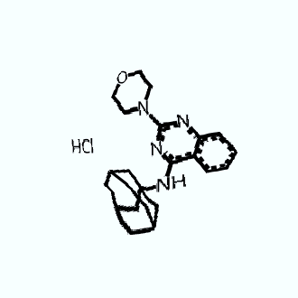 Cl.c1ccc2c(NC34CC5CC(CC(C5)C3)C4)nc(N3CCOCC3)nc2c1